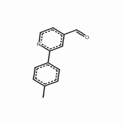 Cc1ccc(-c2cc(C=O)ccn2)cc1